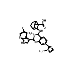 CN1C(c2c[nH]c3ncc(F)cc23)=Nc2cc(-c3nccn3C)ccc2C1NC1C2CCC(CC2)C1C(=O)O